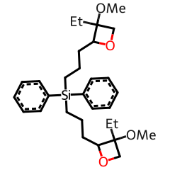 CCC1(OC)COC1CCC[Si](CCCC1OCC1(CC)OC)(c1ccccc1)c1ccccc1